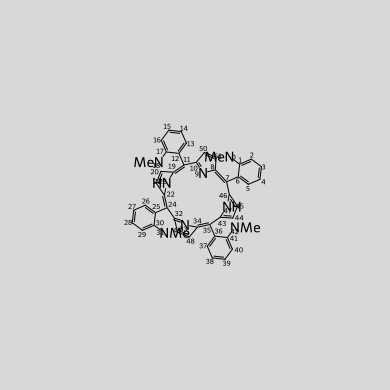 CNc1ccccc1-c1c2nc(c(-c3ccccc3NC)c3ccc([nH]3)c(-c3ccccc3NC)c3nc(c(-c4ccccc4NC)c4ccc1[nH]4)C=C3)C=C2